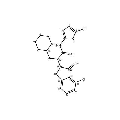 O=C(Nc1ncc(Cl)s1)[C@H](CC1CCCCC1)N1Cc2cccc(Cl)c2C1=O